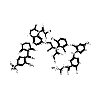 CC1COc2ccccc2N1C(=O)C(Cl)Cl.CCc1cccc(C)c1N(C(=O)CCl)C(C)COC.CS(=O)(=O)c1ccc(C(=O)C2C(=O)CCCC2=O)c([N+](=O)[O-])c1.C[C@H](OC(=O)c1cc(Oc2ccc(C(F)(F)F)cc2Cl)ccc1Cl)C(=O)O